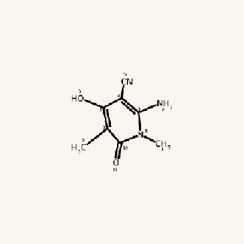 Cc1c(O)c(C#N)c(N)n(C)c1=O